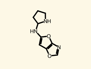 c1nc2oc(NC3CCCN3)cc2o1